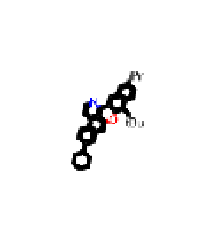 CC(C)c1ccc2c(CC(C)(C)C)c3c(cc2c1)-c1nccc2c1c(cc1cc(C4CCCCC4)ccc12)O3